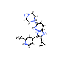 Cc1cc(-c2c(C3CC3)nc3ccc(N4CCNCC4)nn23)ccn1